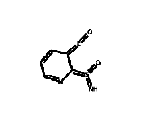 N=S(=O)=C1N=CC=CC1=C=O